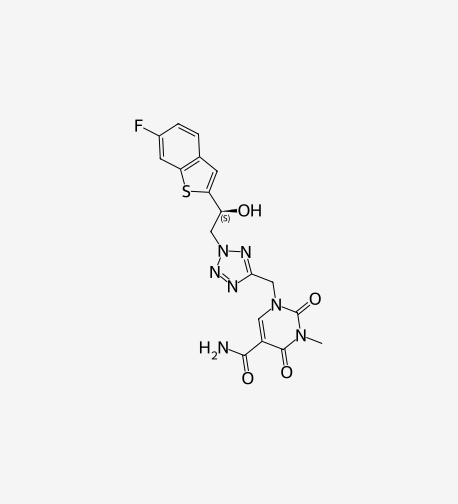 Cn1c(=O)c(C(N)=O)cn(Cc2nnn(C[C@H](O)c3cc4ccc(F)cc4s3)n2)c1=O